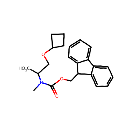 CN(C(=O)OCC1c2ccccc2-c2ccccc21)C(COC1CCC1)C(=O)O